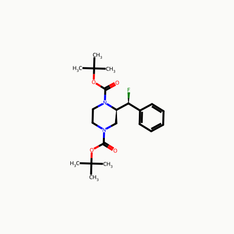 CC(C)(C)OC(=O)N1CCN(C(=O)OC(C)(C)C)[C@@H]([C@@H](F)c2ccccc2)C1